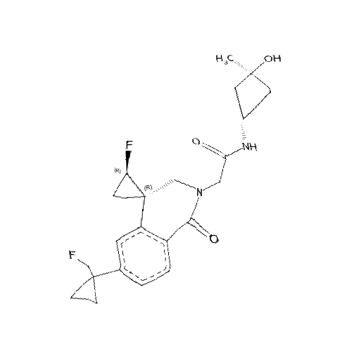 C[C@]1(O)C[C@H](NC(=O)CN2C[C@@]3(C[C@H]3F)c3cc(C4(F)CC4)ccc3C2=O)C1